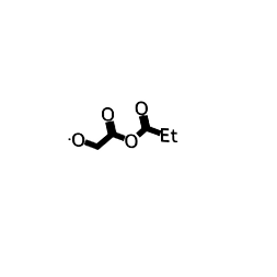 CCC(=O)OC(=O)C[O]